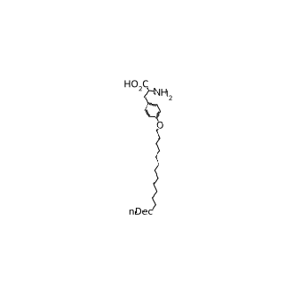 CCCCCCCCCCCCCCCCCCCCCCOc1ccc(C[C@H](N)C(=O)O)cc1